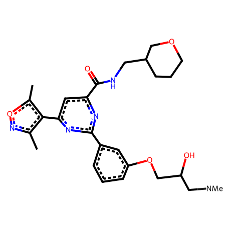 CNCC(O)COc1cccc(-c2nc(C(=O)NCC3CCCOC3)cc(-c3c(C)noc3C)n2)c1